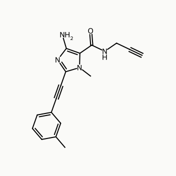 C#CCNC(=O)c1c(N)nc(C#Cc2cccc(C)c2)n1C